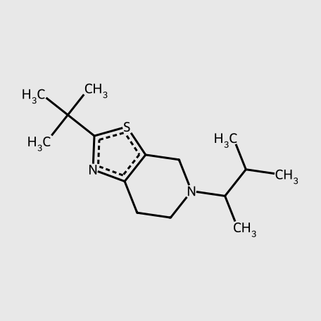 CC(C)C(C)N1CCc2nc(C(C)(C)C)sc2C1